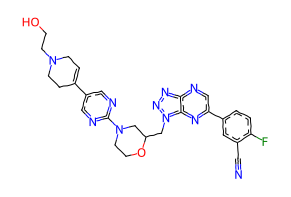 N#Cc1cc(-c2cnc3nnn(CC4CN(c5ncc(C6=CCN(CCO)CC6)cn5)CCO4)c3n2)ccc1F